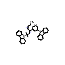 CC(C)(/C=C(\C=C/CC#N)c1cncc(-n2c3ccccc3c3ccccc32)c1)n1c2c(c3ccccc31)C=CCC2